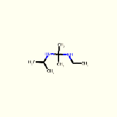 CCNC(C)(C)NC(C)C